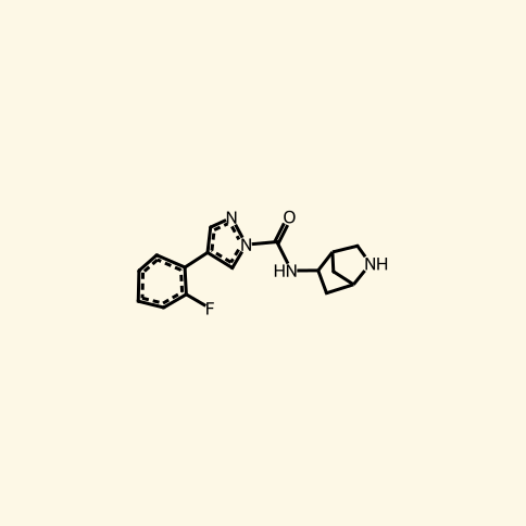 O=C(NC1CC2CC1CN2)n1cc(-c2ccccc2F)cn1